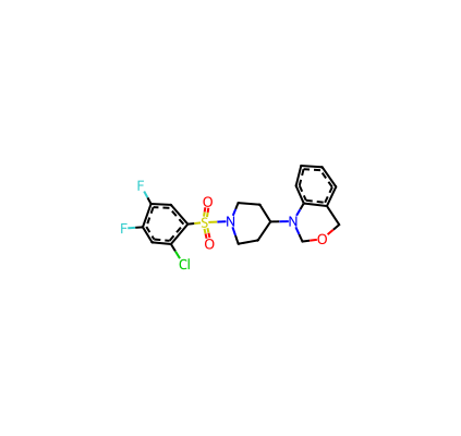 O=S(=O)(c1cc(F)c(F)cc1Cl)N1CCC(N2COCc3ccccc32)CC1